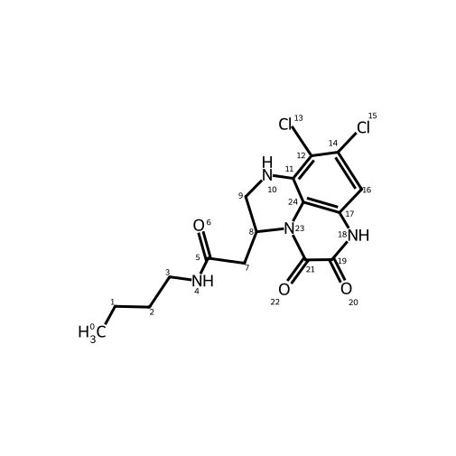 CCCCNC(=O)CC1CNc2c(Cl)c(Cl)cc3[nH]c(=O)c(=O)n1c23